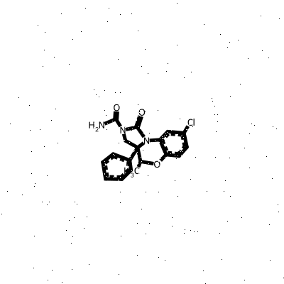 CC1Oc2ccc(Cl)cc2N2C(=O)N(C(N)=O)CC12c1ccccc1